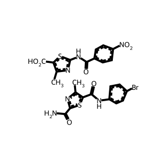 Cc1nc(C(N)=O)sc1C(=O)Nc1ccc(Br)cc1.Cc1nc(NC(=O)c2ccc([N+](=O)[O-])cc2)sc1C(=O)O